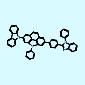 c1ccc(-n2c(-c3ccc(-c4cc5ccc6cc(-n7c8ccccc8c8ccccc87)cc7c6c5c(c4)n7-c4ccccc4)cc3)nc3ccccc32)cc1